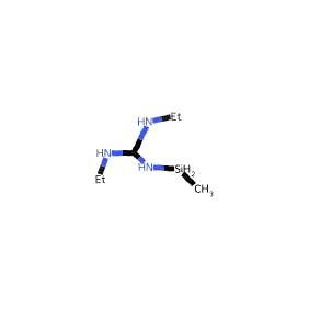 CCNC(NCC)N[SiH2]C